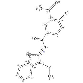 CCn1/c(=N/C(=O)c2ccc(Br)c(C(N)=O)c2)[nH]c2ccccc21